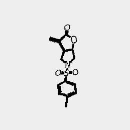 C=C1C(=O)OC2CN(S(=O)(=O)c3ccc(C)cc3)CC12